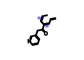 C=C/C=C(\C=C/C)C(=O)Cc1cccnc1